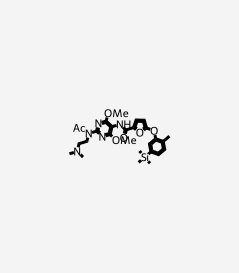 COc1nc(N(CCN(C)C)C(C)=O)nc(OC)c1NC(=O)c1ccc(Oc2cc([Si](C)(C)C)ccc2C)o1